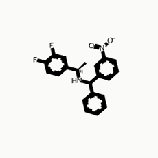 C[C@@H](NC(c1ccccc1)c1cccc([N+](=O)[O-])c1)c1ccc(F)c(F)c1